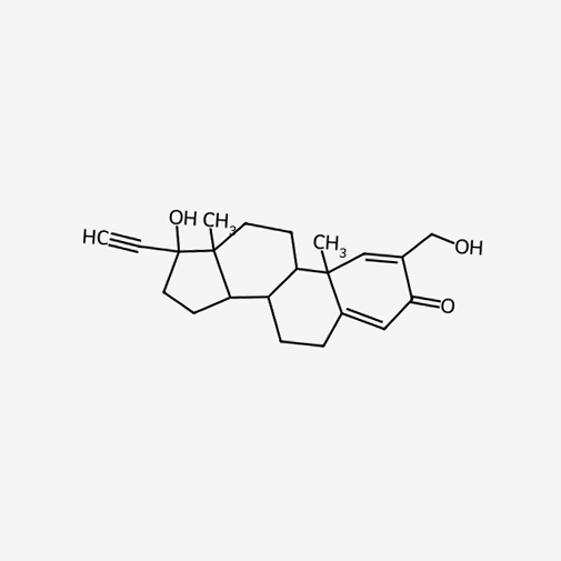 C#CC1(O)CCC2C3CCC4=CC(=O)C(CO)=CC4(C)C3CCC21C